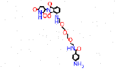 Nc1ccc(C(=O)NCCOCCOCCOCCNc2cccc3c2C(=O)N(C2CCC(=O)NC2=O)C3=O)cc1